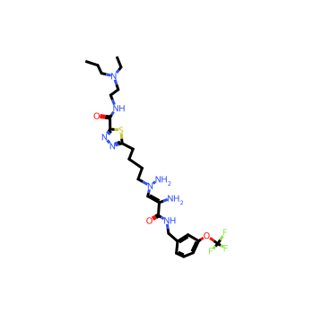 CCCN(CC)CCNC(=O)c1nnc(CCCCN(N)/C=C(\N)C(=O)NCc2cccc(OC(F)(F)F)c2)s1